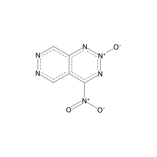 O=[N+]([O-])c1n[n+]([O-])nc2cnncc12